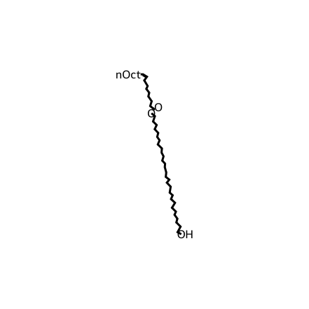 CCCCCCCC/C=C\CCCCCCCC(=O)OCCCCCCCCCCCCCCCCCCCCCCCCCCCCCCO